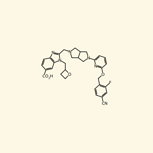 N#Cc1ccc(COc2cccc(N3CC4CN(Cc5nc6ccc(C(=O)O)cc6n5CC5CCO5)CC4C3)n2)c(F)c1